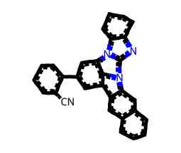 N#Cc1ccccc1-c1cc2c3cc4ccccc4cc3n3c2c(c1)n1c2ccccc2nc13